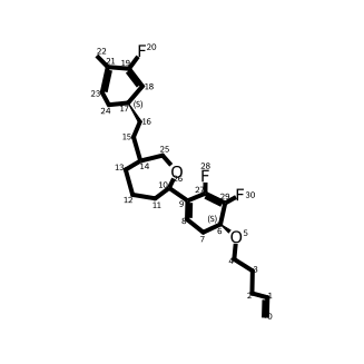 C=CCCCO[C@H]1CC=C(C2CCCC(CC[C@@H]3C=C(F)C(C)=CC3)CO2)C(F)=C1F